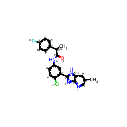 Cc1cnc2nc(-c3cc(NC(=O)C(C)c4ccc(F)cc4)ccc3Cl)[nH]c2c1